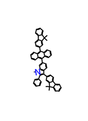 Cn1c(-c2ccccc2)c(-c2ccc3c(c2)C(C)(C)c2ccccc2-3)c2ccc(-c3c4ccccc4c(-c4ccc5c(c4)C(C)(C)c4ccccc4-5)c4ccccc34)cc21